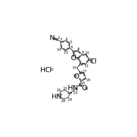 Cl.N#Cc1ccc(-c2cc3cc(Cl)cc(Cc4ccc(C(=O)NCC5CCNCC5)o4)c3o2)cc1